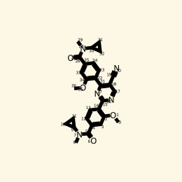 COc1cc(C(=O)N(C)C2CC2)ccc1-c1ncc(C#N)c(-c2ccc(C(=O)N(C)C3CC3)cc2OC)n1